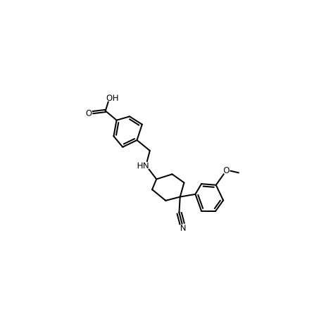 COc1cccc(C2(C#N)CCC(NCc3ccc(C(=O)O)cc3)CC2)c1